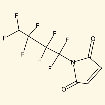 O=C1C=CC(=O)N1C(F)(F)C(F)(F)C(F)(F)C(F)F